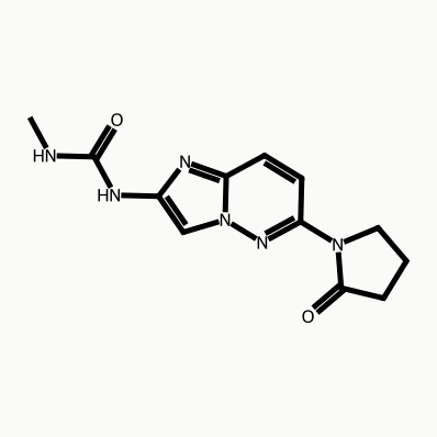 CNC(=O)Nc1cn2nc(N3CCCC3=O)ccc2n1